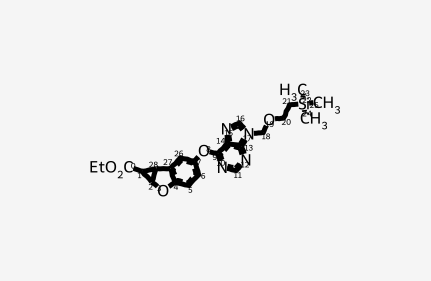 CCOC(=O)C1C2Oc3ccc(Oc4ncnc5c4ncn5COCC[Si](C)(C)C)cc3C21